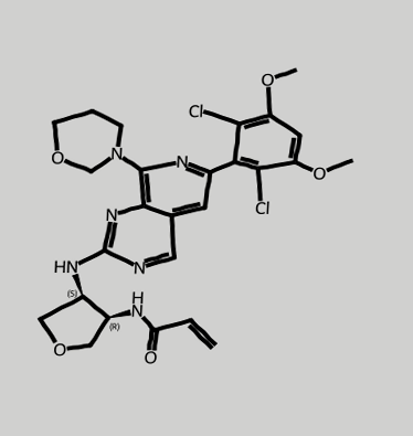 C=CC(=O)N[C@H]1COC[C@H]1Nc1ncc2cc(-c3c(Cl)c(OC)cc(OC)c3Cl)nc(N3CCCOC3)c2n1